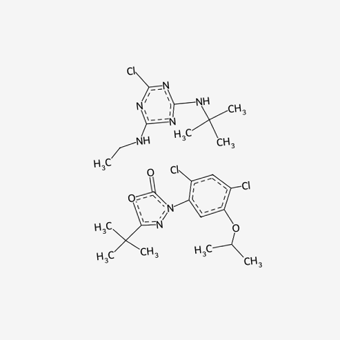 CC(C)Oc1cc(-n2nc(C(C)(C)C)oc2=O)c(Cl)cc1Cl.CCNc1nc(Cl)nc(NC(C)(C)C)n1